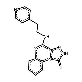 O=c1[nH]nc2c(NCCc3ccncc3)nc3ccccc3n12